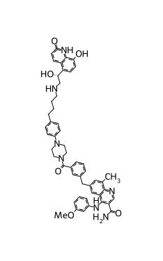 COc1cccc(Nc2c(C(N)=O)cnc3c(C)cc(Cc4cccc(C(=O)N5CCN(c6ccc(CCCCNC[C@H](O)c7ccc(O)c8[nH]c(=O)ccc78)cc6)CC5)c4)cc23)c1